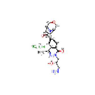 Cc1nn(C[C@@H](O)CN)c(=O)c2ccc(C(=O)N3C4CCC3COC4)cc12.Cl.Cl